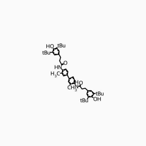 Cc1cc(-c2ccc(NC(=O)CCc3cc(C(C)(C)C)c(O)c(C(C)(C)C)c3)c(C)c2)ccc1NC(=O)CCc1cc(C(C)(C)C)c(O)c(C(C)(C)C)c1